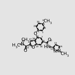 Cc1ccc(Oc2cc(C(=O)Nc3ccn(C)n3)cc3oc(C(=O)N(C)C)cc23)cc1